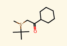 C[S+](CC(=O)C1CCCCC1)C(C)(C)C